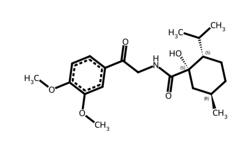 COc1ccc(C(=O)CNC(=O)[C@]2(O)C[C@H](C)CC[C@H]2C(C)C)cc1OC